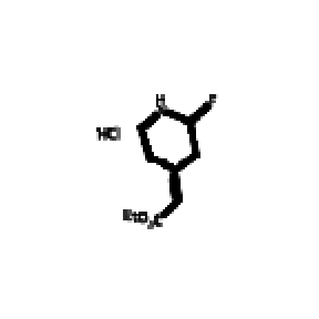 CCOC(=O)C=C1CCNC(F)C1.Cl